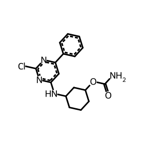 NC(=O)OC1CCCC(Nc2cc(-c3ccccc3)nc(Cl)n2)C1